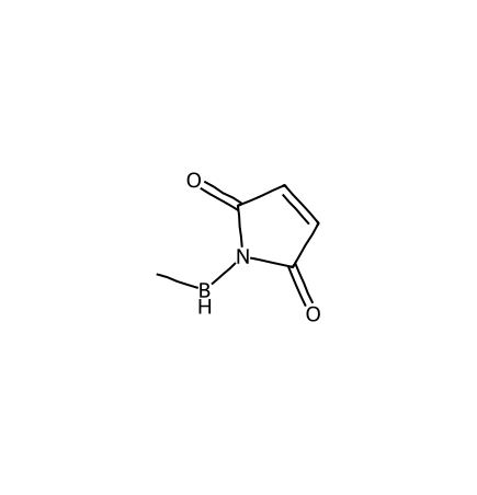 CBN1C(=O)C=CC1=O